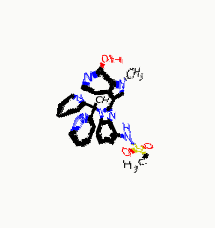 CCS(=O)(=O)Nc1cccc2c1nc(-c1cn(C)c3c(O)nccc13)n2C(C)(c1ccccn1)c1ccccn1